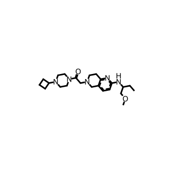 CCC(COC)Nc1ccc2c(n1)CCN(CC(=O)N1CCN(C3CCC3)CC1)C2